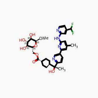 CO[C@H]1O[C@H](COC(=O)[C@H]2CC[C@H]([C@@](C)(O)c3ccc(-c4cc(C)cc(Nc5cc(C(F)F)ccn5)n4)cn3)CC2)[C@@H](O)[C@H](O)[C@H]1O